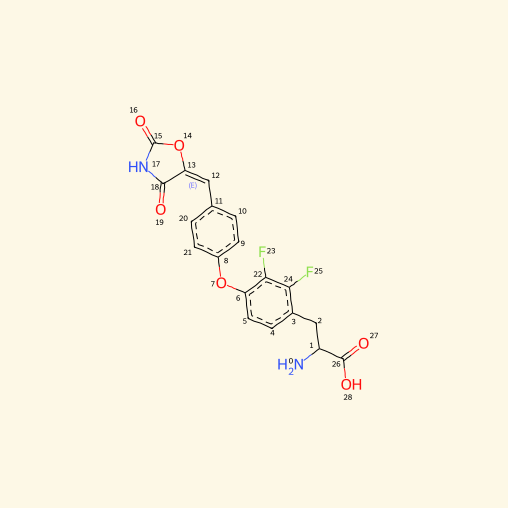 NC(Cc1ccc(Oc2ccc(/C=C3/OC(=O)NC3=O)cc2)c(F)c1F)C(=O)O